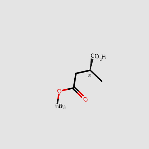 CCCCOC(=O)C[C@H](C)C(=O)O